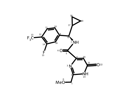 COCc1nc(C(=O)N[C@@H](c2ccc(C(F)(F)F)c(F)c2)C2CC2)cc(=O)[nH]1